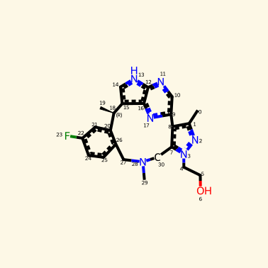 Cc1nn(CCO)c2c1-c1cnc3[nH]cc(c3n1)[C@H](C)c1cc(F)ccc1CN(C)C2